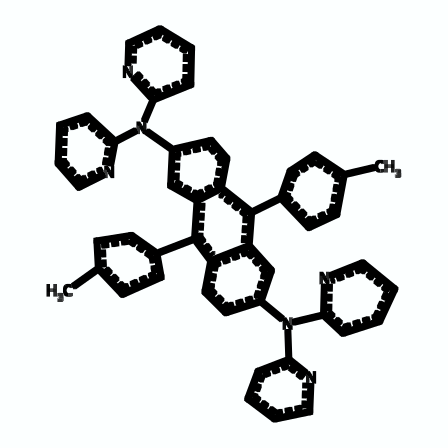 Cc1ccc(-c2c3ccc(N(c4ccccn4)c4ccccn4)cc3c(-c3ccc(C)cc3)c3ccc(N(c4ccccn4)c4ccccn4)cc23)cc1